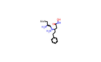 CNC/C(N)=C/N(N)C(CCc1ccccc1)CC(=O)NO